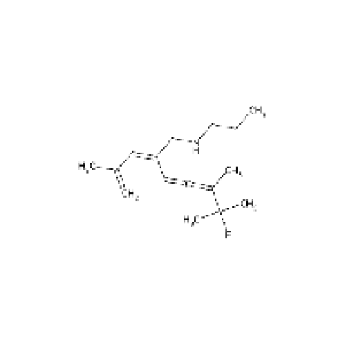 C=C(C)/C=C(\C=C=C(C)C(C)(C)F)CNCCC